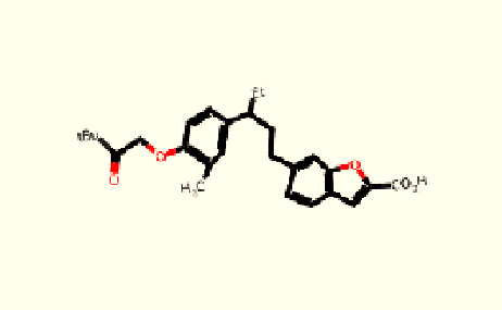 CCC(CCc1ccc2cc(C(=O)O)oc2c1)c1ccc(OCC(=O)C(C)(C)C)c(C)c1